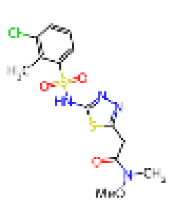 CON(C)C(=O)Cc1nnc(NS(=O)(=O)c2cccc(Cl)c2C)s1